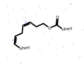 CCCCC/C=C\C/C=C\CCOC(=O)CCCCC